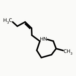 CC/C=C\CC1CCCC(C)CN1